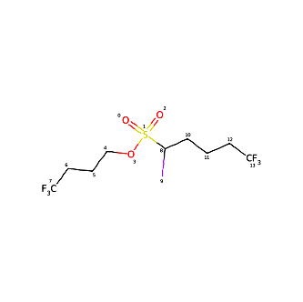 O=S(=O)(OCCCC(F)(F)F)C(I)CCCC(F)(F)F